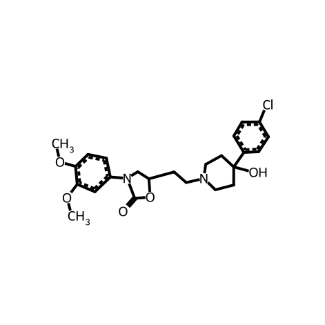 COc1ccc(N2CC(CCN3CCC(O)(c4ccc(Cl)cc4)CC3)OC2=O)cc1OC